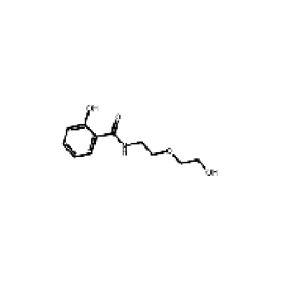 O=C(NCCOCCO)c1ccccc1O